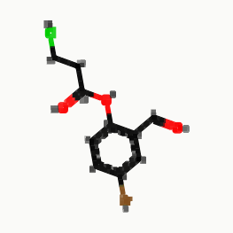 O=Cc1cc(Br)ccc1OC(=O)CCCl